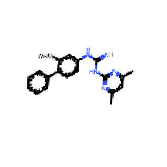 COc1cc(NC(=N)Nc2nc(C)cc(C)n2)ccc1-c1ccccc1